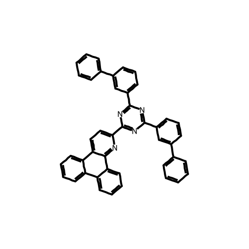 c1ccc(-c2cccc(-c3nc(-c4cccc(-c5ccccc5)c4)nc(-c4ccc5c6ccccc6c6ccccc6c5n4)n3)c2)cc1